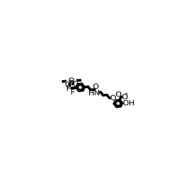 CCOP(=O)(OCC)C(F)(F)c1ccc(CCC(=O)NCCCCOc2cccc(O)c2C(=O)OC)cc1